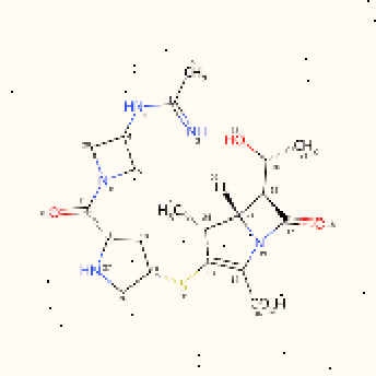 CC(=N)NC1CN(C(=O)[C@@H]2C[C@H](SC3=C(C(=O)O)N4C(=O)[C@H]([C@@H](C)O)[C@H]4[C@H]3C)CN2)C1